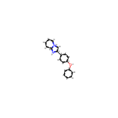 c1ccc(Oc2ccc(-c3cn4ccccc4n3)cc2)cc1